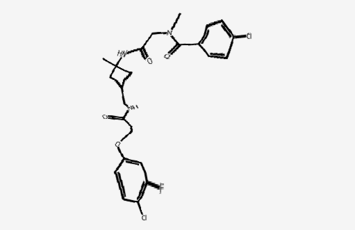 CN(CC(=O)NC1(C)CC(NC(=O)COc2ccc(Cl)c(F)c2)C1)C(=O)c1ccc(Cl)cc1